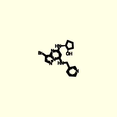 O[C@H]1CCC[C@@H]1Nc1cc(NCc2cccnc2)n2ncc(Br)c2n1